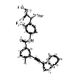 CCCCCCCCCC(C(=O)NO)c1ccc(NC(=O)c2ccc(C)c(C#Cc3cnc4cccnn34)c2)cc1C(F)(F)F